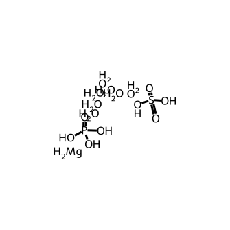 O.O.O.O.O.O.O.O=P(O)(O)O.O=S(=O)(O)O.[MgH2]